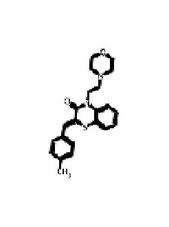 Cc1ccc(C=C2Sc3ccccc3N(CCN3CCOCC3)C2=O)cc1